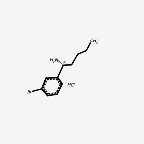 CCCC[C@@H](N)c1cccc(Br)c1.Cl